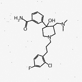 CN(C)CC1CN(CCCc2ccc(F)cc2Cl)CCC1(O)c1cccc(C(N)=O)c1